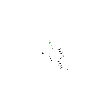 C/C=C(\C=C/CF)CCC